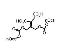 CCCCCCCCOC(=O)OCC(COC(=O)OCCCCCCCC)=C(CC(=O)O)C(=O)O